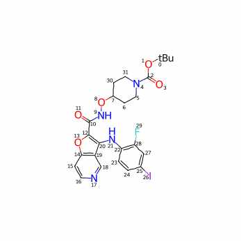 CC(C)(C)OC(=O)N1CCC(ONC(=O)c2oc3ccncc3c2Nc2ccc(I)cc2F)CC1